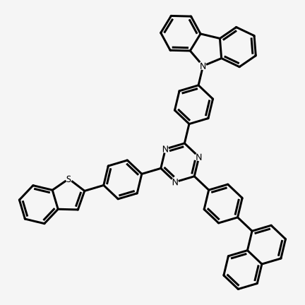 c1ccc2sc(-c3ccc(-c4nc(-c5ccc(-c6cccc7ccccc67)cc5)nc(-c5ccc(-n6c7ccccc7c7ccccc76)cc5)n4)cc3)cc2c1